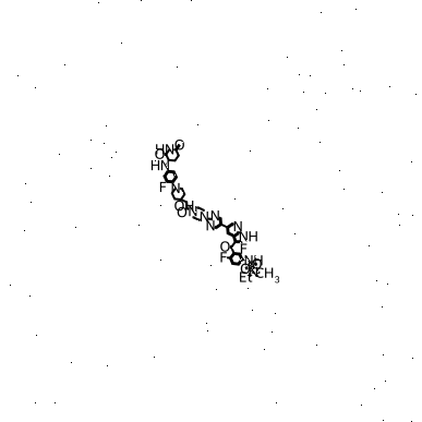 CCN(C)S(=O)(=O)Nc1ccc(F)c(C(=O)c2c[nH]c3ncc(-c4cnc(N5CCN(C(=O)CC6(O)CCN(c7ccc(N[C@H]8CCC(=O)NC8=O)cc7F)CC6)CC5)nc4)cc23)c1F